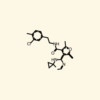 C=c1oc(C)c(C(=O)NCCc2ccc(C)c(Cl)c2)/c1=C(/N=C\C)NC1(C)CC1